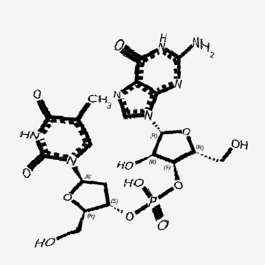 Cc1cn([C@H]2C[C@H](OP(=O)(O)O[C@H]3[C@@H](O)[C@H](n4cnc5c(=O)[nH]c(N)nc54)O[C@@H]3CO)[C@@H](CO)O2)c(=O)[nH]c1=O